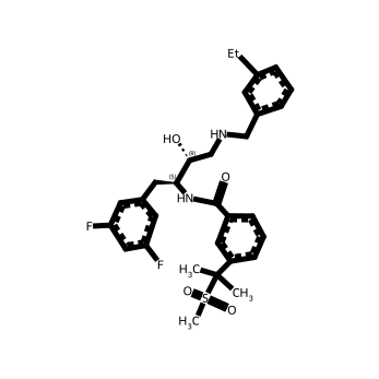 CCc1cccc(CNC[C@@H](O)[C@H](Cc2cc(F)cc(F)c2)NC(=O)c2cccc(C(C)(C)S(C)(=O)=O)c2)c1